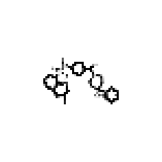 O=C(c1ccc(NS(=O)(=O)c2cccc3cc(F)cnc23)cc1)N1CCC(O)(c2ccccc2)CC1